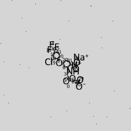 COC(CNc1cc(Oc2ccc(C(F)(F)F)cc2Cl)ccc1[N+](=O)[O-])OCC(=O)[O-].[Na+]